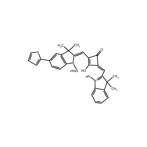 CCCCCCN1C(=CC2=C(O)C(=CC3=[N+](CCC)c4ccccc4C3(C)C)C2=O)C(C)(C)c2cc(-c3cccs3)ccc21